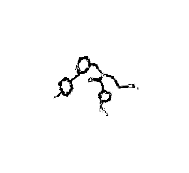 Cn1cnc(C(=O)N(CCC(F)(F)F)Cc2ccnc(-c3ccc(F)cc3)c2)c1